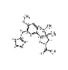 COc1ccc([C@@H]2CN(C(=O)O)C[C@@]2(C)[C@@H](C)O)cc1Oc1nccs1